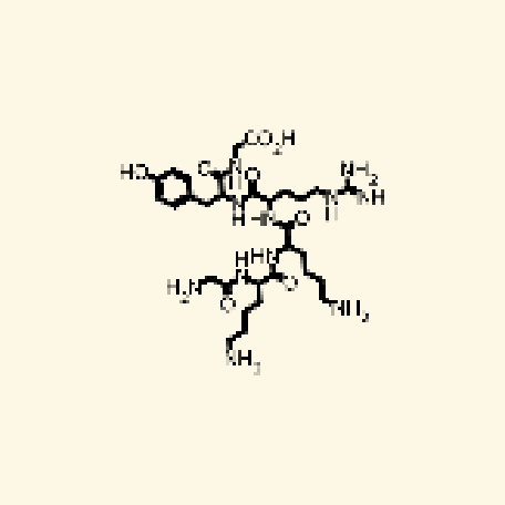 N=C(N)NCCCC(NC(=O)C(CCCCN)NC(=O)C(CCCCN)NC(=O)CN)C(=O)NC(Cc1ccc(O)cc1)C(=O)NCC(=O)O